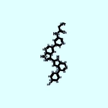 CC(C)CC(=O)Nc1cncc(-c2cnc3[nH]nc(-c4cc5c(-c6ccc(F)cc6)cncc5[nH]4)c3c2)c1